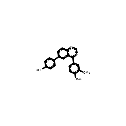 COc1ccc(-c2ncnc3ccc(-c4ccc(C=O)cc4)cc23)cc1OC